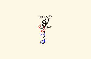 CC(=O)O[C@@H]1C[C@]23COC[C@@](C)([C@@H]2CC[C@H]2C3=CC[C@@]3(C)[C@H](C(=O)O)[C@@](C)([C@H](C)C(C)C)CC[C@]23C)[C@H]1OC(=O)CNCCCn1ccnc1